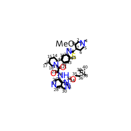 CO[C@@H]1CN(C)CC[C@H]1c1nc2cc([C@H]3CC[C@H](C)CN3C(=O)C(=O)Nc3cncc4cnn(COCC[Si](C)(C)C)c34)ccc2s1